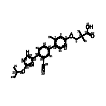 Cc1cc(OCC(C)(C)C(=O)O)ncc1-c1ccc(-c2nc(OC(C)C)n[nH]2)c(C#N)c1